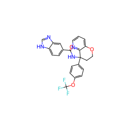 O=C(NC1(c2ccc(OC(F)(F)F)cc2)CCOc2cccnc21)c1ccc2[nH]cnc2c1